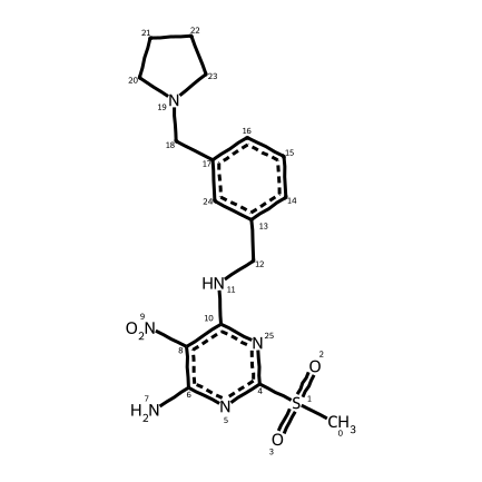 CS(=O)(=O)c1nc(N)c([N+](=O)[O-])c(NCc2cccc(CN3CCCC3)c2)n1